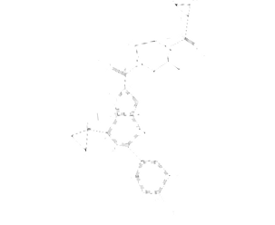 C[C@H]1CN(C(=O)c2cc3nc(-c4ccc(F)cc4)cc(C4(C)CC4)c3o2)CCN1C(=O)C1CC1